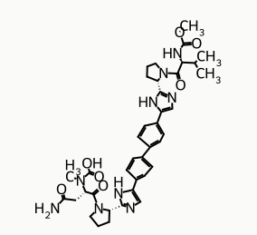 COC(=O)N[C@H](C(=O)N1CCC[C@H]1c1ncc(-c2ccc(-c3ccc(-c4cnc([C@@H]5CCCN5C(=O)[C@H](CC(N)=O)N(C)C(=O)O)[nH]4)cc3)cc2)[nH]1)C(C)C